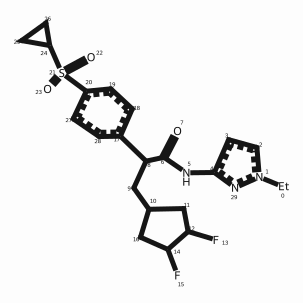 CCn1ccc(NC(=O)C(CC2CC(F)C(F)C2)c2ccc(S(=O)(=O)C3CC3)cc2)n1